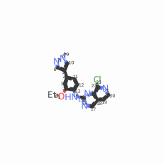 CCOc1cc(-c2cnn(C)c2)ccc1Nc1ncc2ccnc(Cl)c2n1